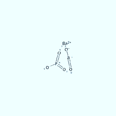 O=B[O-].O=P(=O)[O-].[Ba+2]